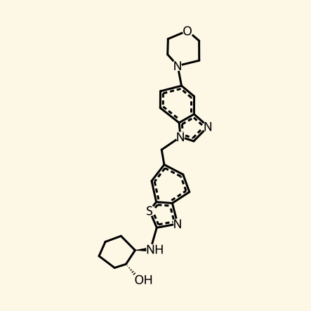 O[C@@H]1CCCC[C@H]1Nc1nc2ccc(Cn3cnc4cc(N5CCOCC5)ccc43)cc2s1